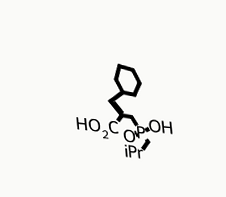 CC(C)CP(=O)(O)C/C(=C\C1CCCCC1)C(=O)O